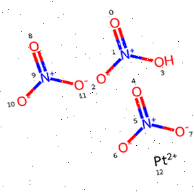 O=[N+]([O-])O.O=[N+]([O-])[O-].O=[N+]([O-])[O-].[Pt+2]